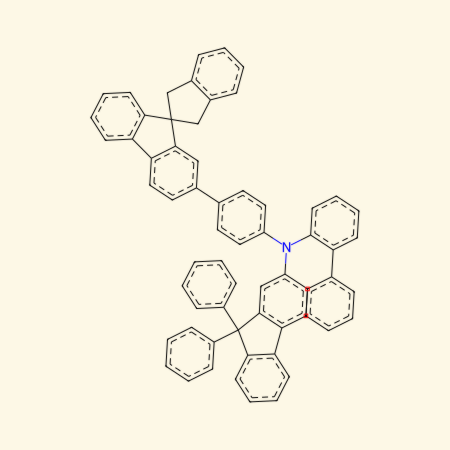 c1ccc(-c2ccccc2N(c2ccc(-c3ccc4c(c3)C3(Cc5ccccc5C3)c3ccccc3-4)cc2)c2ccc3c(c2)C(c2ccccc2)(c2ccccc2)c2ccccc2-3)cc1